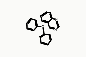 c1ccc(Oc2ccccc2)cc1.c1ccc2ncncc2c1